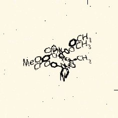 C=C(C(=O)N1CCC[C@@H](n2nc(-c3ccc(Oc4cccc(C)c4C)cc3)c3cnccc32)C1)c1cc(OC)c(Cl)c(Oc2ccc(-c3nn([C@@H]4CCCN(C(=O)C#CC)C4)c4ccncc34)cc2)c1